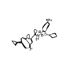 CC(C)(C)c1ccc(OC2CCC2)c(S(=O)(=O)NC(=O)c2cc3c(F)cc(C4CC4)cc3o2)c1